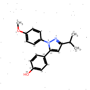 COc1ccc(-n2nc(C(C)C)cc2-c2ccc(O)cc2)cc1